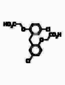 O=C(O)COc1ccc(Cl)cc1Cc1cc(Cl)ccc1OCC(=O)O